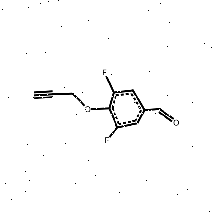 C#CCOc1c(F)cc(C=O)cc1F